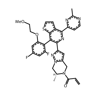 C=CC(=O)N1Cc2cc(-c3nc(-c4ccnc(C)n4)c4ccsc4c3-c3c(F)cc(F)cc3OCCOC)nn2C[C@H]1C